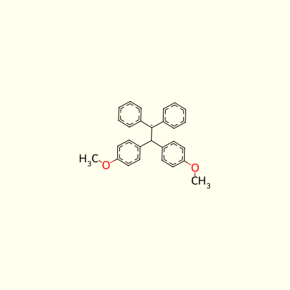 COc1ccc(C([C](c2ccccc2)c2ccccc2)c2ccc(OC)cc2)cc1